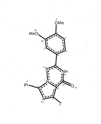 COc1ccc(-c2nn3c(C(C)C)nc(C)c3c(=O)[nH]2)cc1OC